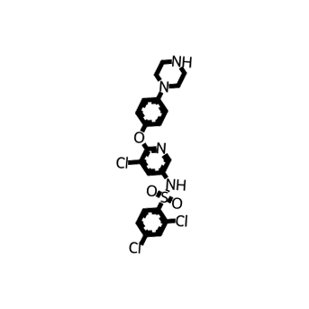 O=S(=O)(Nc1cnc(Oc2ccc(N3CCNCC3)cc2)c(Cl)c1)c1ccc(Cl)cc1Cl